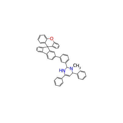 CN1C(c2ccccc2)C=C(c2ccccc2)NC1c1cccc(-c2ccc3c(c2)C2(c4ccccc4Oc4ccccc42)c2ccccc2-3)c1